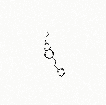 CCNc1nc2ccc(CCc3ccco3)cc2o1